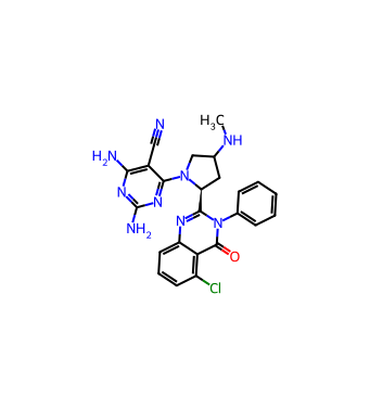 CNC1C[C@@H](c2nc3cccc(Cl)c3c(=O)n2-c2ccccc2)N(c2nc(N)nc(N)c2C#N)C1